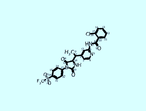 CC(c1ccnc(NC(=O)c2ccccc2Cl)c1)C1NC(=O)N(c2ccc(S(=O)(=O)C(F)(F)F)cc2)C1=O